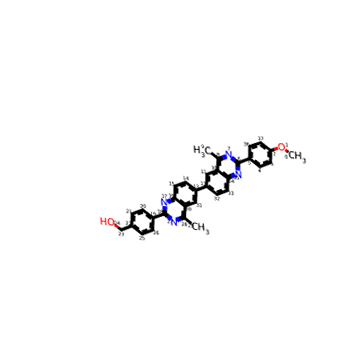 COc1ccc(-c2nc(C)c3cc(-c4ccc5nc(-c6ccc(CO)cc6)nc(C)c5c4)ccc3n2)cc1